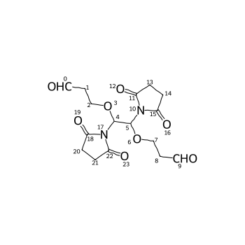 O=CCCOC(C(OCCC=O)N1C(=O)CCC1=O)N1C(=O)CCC1=O